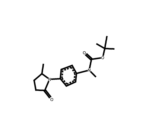 CC1CCC(=O)N1c1ccc(N(C)C(=O)OC(C)(C)C)cc1